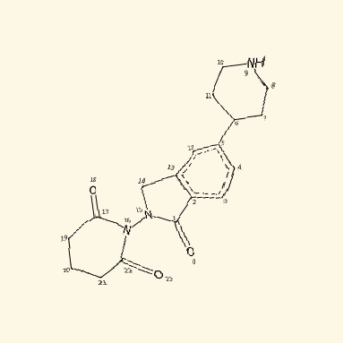 O=C1c2ccc(C3CCNCC3)cc2CN1N1C(=O)CCCC1=O